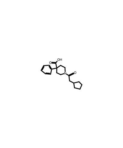 O=C(CC1CCCC1)N1CCC(C(=O)O)(c2ccccc2)CC1